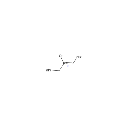 CCC/C=[P+](\[O-])CCCC